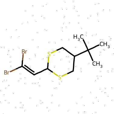 CC(C)(C)C1CSC(C=C(Br)Br)SC1